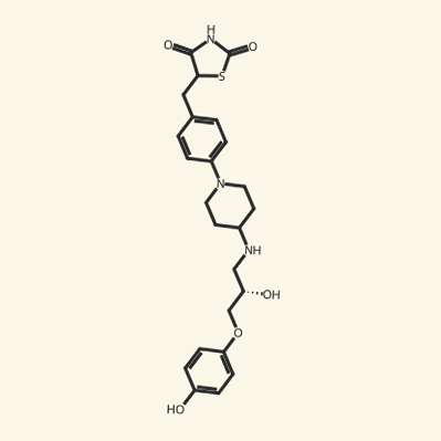 O=C1NC(=O)C(Cc2ccc(N3CCC(NC[C@H](O)COc4ccc(O)cc4)CC3)cc2)S1